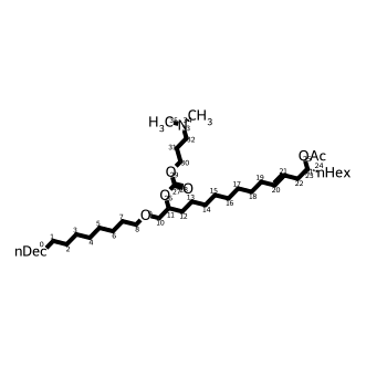 CCCCCCCCCCCCCCCCCCOCC(CCCCCCCCC=CC[C@@H](CCCCCC)OC(C)=O)OC(=O)OCCCN(C)C